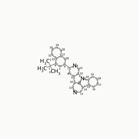 CC(C)(C)c1cc(-c2cc3c4cncc5c6ccccc6n(c3cn2)c54)cc2ccccc12